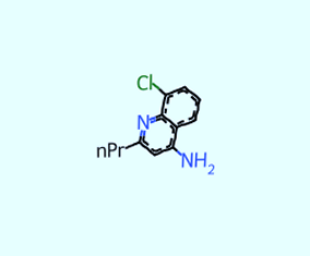 CCCc1cc(N)c2cccc(Cl)c2n1